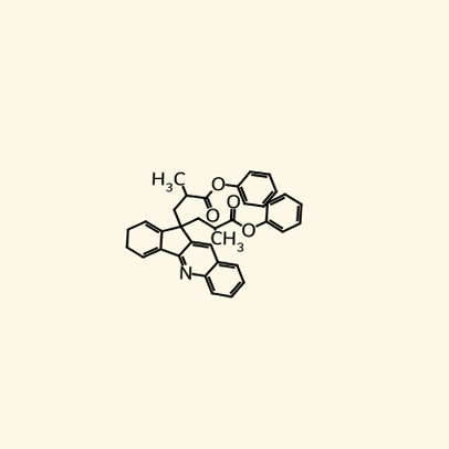 CC(CC1(CC(C)C(=O)Oc2ccccc2)C2=CCCC=C2c2nc3ccccc3cc21)C(=O)Oc1ccccc1